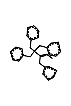 CC=C(Cc1ccccc1)C(Cc1ccccc1)(Cc1ccccc1)Cc1ccccc1